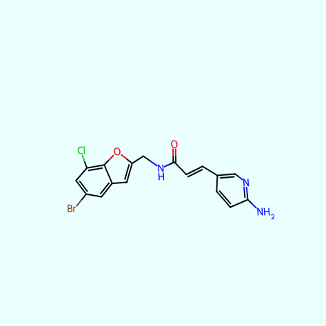 Nc1ccc(C=CC(=O)NCc2cc3cc(Br)cc(Cl)c3o2)cn1